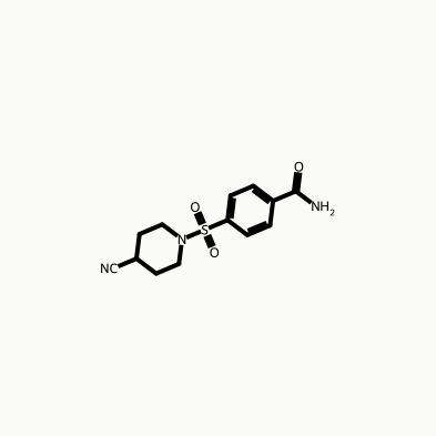 N#CC1CCN(S(=O)(=O)c2ccc(C(N)=O)cc2)CC1